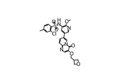 COc1ncc(-c2ccc3ncc(OCC4COC4)c(=O)n3c2)cc1NS(=O)(=O)c1ccc(C)cc1Cl